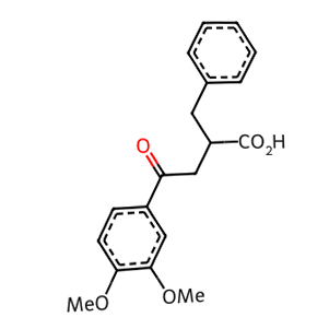 COc1ccc(C(=O)CC(Cc2ccccc2)C(=O)O)cc1OC